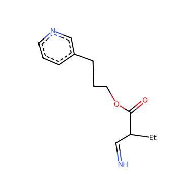 CCC(C=N)C(=O)OCCCc1cccnc1